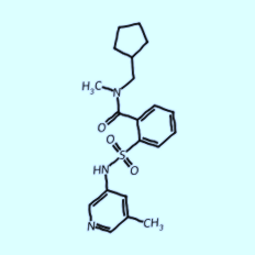 Cc1cncc(NS(=O)(=O)c2ccccc2C(=O)N(C)CC2CCCC2)c1